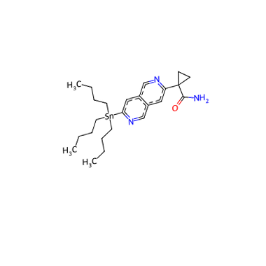 CCC[CH2][Sn]([CH2]CCC)([CH2]CCC)[c]1cc2cnc(C3(C(N)=O)CC3)cc2cn1